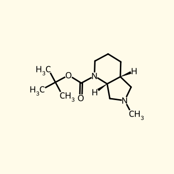 CN1C[C@H]2CCCN(C(=O)OC(C)(C)C)[C@H]2C1